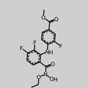 CCON(O)C(=O)c1ccc(F)c(F)c1Nc1ccc(C(=O)OC)cc1F